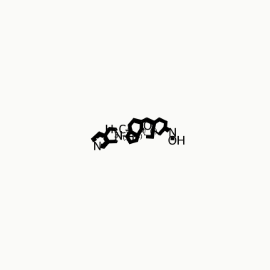 C[C@]12CC=C3C=C4CCC(=NO)C[C@]45CC[C@]3(O5)[C@@H]1CC[C@@H]2N1CCc2ccncc2C1